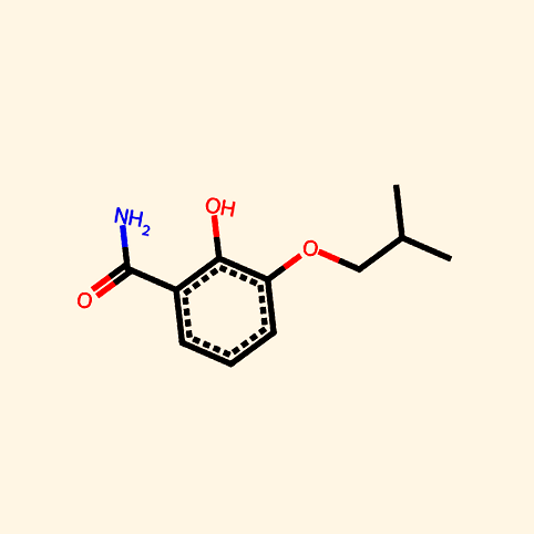 CC(C)COc1cccc(C(N)=O)c1O